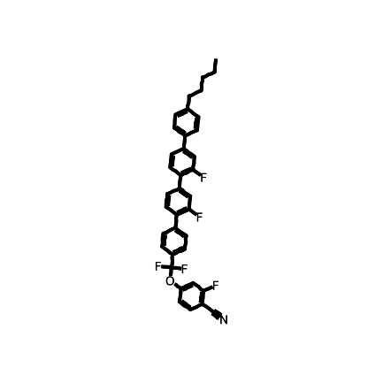 CCCCCc1ccc(-c2ccc(-c3ccc(-c4ccc(C(F)(F)Oc5ccc(C#N)c(F)c5)cc4)c(F)c3)c(F)c2)cc1